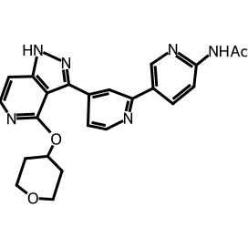 CC(=O)Nc1ccc(-c2cc(-c3n[nH]c4ccnc(OC5CCOCC5)c34)ccn2)cn1